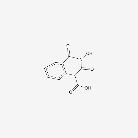 O=C(O)C1C(=O)N(O)C(=O)c2ccccc21